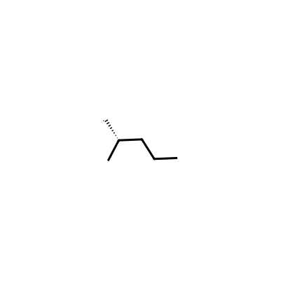 [CH2][C@@H](C)CCC